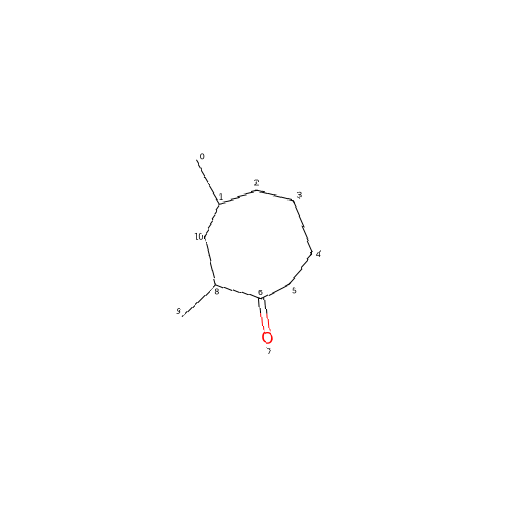 CC1CCCCC(=O)C(C)C1